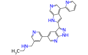 CCNCc1cncc(-c2cnc3[nH]nc(-c4cc5c(-c6ccccn6)cncc5[nH]4)c3c2)c1